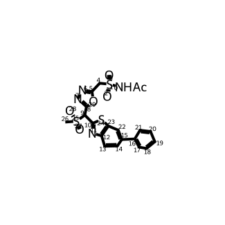 CC(=O)NS(=O)(=O)Cc1nnc(C(c2nc3ccc(-c4ccccc4)cc3s2)S(C)(=O)=O)o1